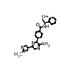 Cn1cc(-c2cnc(N)c(-c3ccc(C(=O)NC(CO)c4ccccc4)cc3)n2)cn1